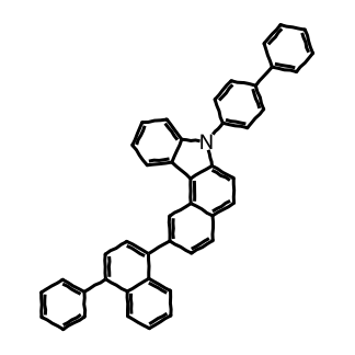 c1ccc(-c2ccc(-n3c4ccccc4c4c5cc(-c6ccc(-c7ccccc7)c7ccccc67)ccc5ccc43)cc2)cc1